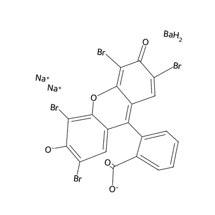 O=C([O-])c1ccccc1-c1c2cc(Br)c(=O)c(Br)c-2oc2c(Br)c([O-])c(Br)cc12.[BaH2].[Na+].[Na+]